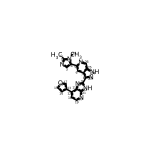 Cc1ncc(-c2cc3c(-c4nc5c(-c6ccoc6)ccnc5[nH]4)n[nH]c3cn2)n1C